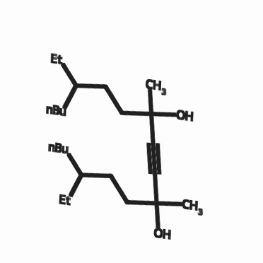 CCCCC(CC)CCC(C)(O)C#CC(C)(O)CCC(CC)CCCC